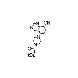 CC(C)(C)OC(=O)N1CCN(c2ccc(C#N)c3ncncc23)CC1